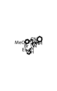 CCN1CCCC1CNc1nc(NC2CCCCCC2)nc(N(C#N)c2ccc(OC)c(Br)c2)n1